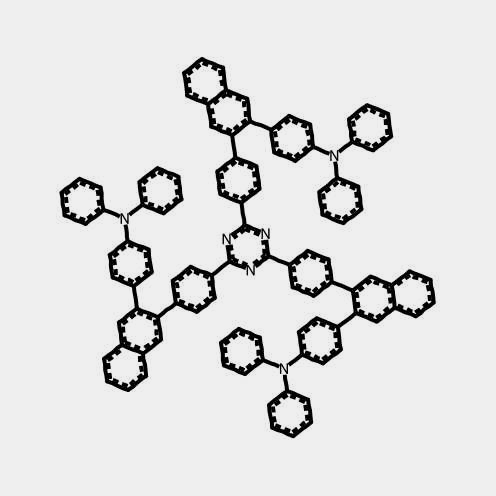 c1ccc(N(c2ccccc2)c2ccc(-c3cc4ccccc4cc3-c3ccc(-c4nc(-c5ccc(-c6cc7ccccc7cc6-c6ccc(N(c7ccccc7)c7ccccc7)cc6)cc5)nc(-c5ccc(-c6cc7ccccc7cc6-c6ccc(N(c7ccccc7)c7ccccc7)cc6)cc5)n4)cc3)cc2)cc1